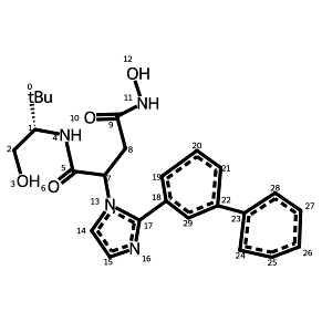 CC(C)(C)[C@@H](CO)NC(=O)C(CC(=O)NO)n1ccnc1-c1cccc(-c2ccccc2)c1